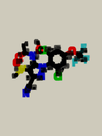 CON(C(C)=O)c1c([S+](C)[O-])c(C#N)nn1-c1c(Cl)cc(OC(F)(F)F)cc1Cl